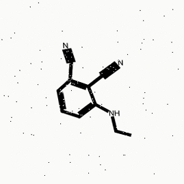 CCNc1cccc(C#N)c1C#N